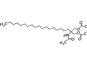 CCCCCCCCCCCCCCCCCCC(COC(C)=O)(COC(C)=O)NC(C)=O